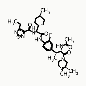 CCc1nonc1C(=O)N[C@H](C(=O)Nc1ccc([C@H](C)[C@@H](NC(C)=O)C(=O)N2CCN(C)[C@H](C)C2)cc1F)[C@H]1CC[C@H](C)CC1